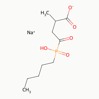 CCCCCP(=O)(O)C(=O)CC(C)C(=O)[O-].[Na+]